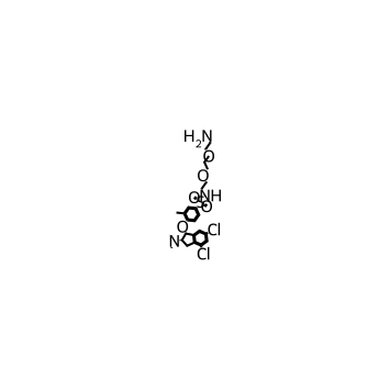 Cc1cc(S(=O)(=O)NCCOCCOCCN)ccc1O[C@H]1c2cc(Cl)cc(Cl)c2C[C@@H]1N(C)C